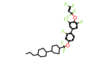 CCCC1CCC(C2CCC(C(F)(F)Oc3ccc(-c4cc(F)c(OC(F)(F)C=C(F)F)c(F)c4)c(F)c3)CC2)CC1